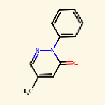 Cc1cnn(-c2ccccc2)c(=O)c1